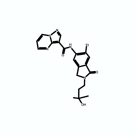 CCc1cc2c(cc1NC(=O)c1cnn3cccnc13)CN(CCC(C)(C)O)C2=O